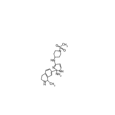 CC1NCCc2ccc(C3(N)N=C(NC4CCN(S(C)(=O)=O)CC4)C=CN3)cc21